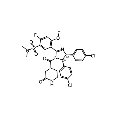 CCOc1cc(F)c(S(=O)(=O)N(C)C)cc1C1=N[C@@H](c2ccc(Cl)cc2)[C@@H](c2ccc(Cl)cc2)N1C(=O)N1CCNC(=O)C1